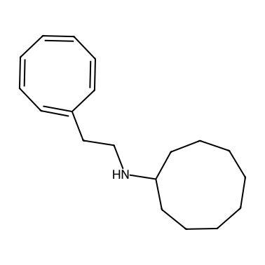 C1=C\C=C/C(CCNC2CCCCCCCC2)=C\C=C/1